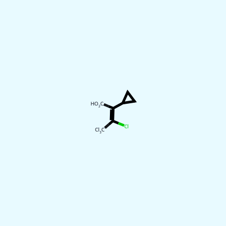 O=C(O)C(=C(Cl)C(Cl)(Cl)Cl)C1CC1